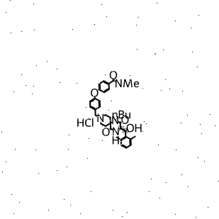 CCCCN1C(=O)[C@@H]([C@H](O)c2c(C)cccc2C)NC(=O)C12CCN(Cc1ccc(Oc3ccc(C(=O)NC)cc3)cc1)CC2.Cl